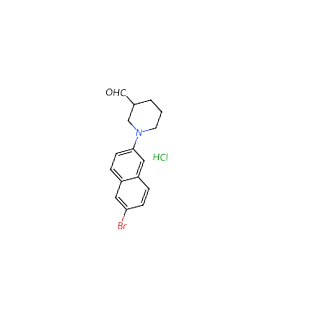 Cl.O=CC1CCCN(c2ccc3cc(Br)ccc3c2)C1